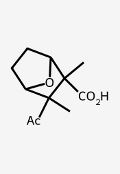 CC(=O)C1(C)C2CCC(O2)C1(C)C(=O)O